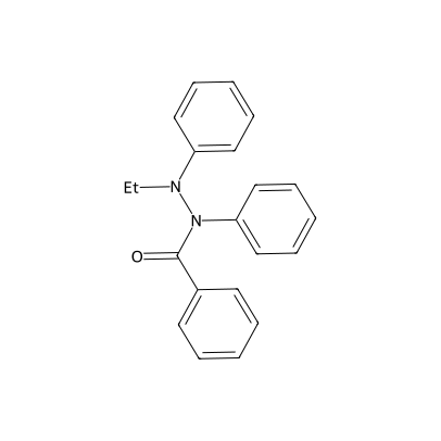 CCN(c1ccccc1)N(C(=O)c1ccccc1)c1ccccc1